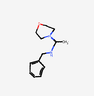 [CH2]C(NCc1ccccc1)N1CCOCC1